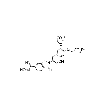 CCOC(=O)COc1ccc(CC(=NO)N2Cc3cc(C(=N)NO)ccc3C2=O)cc1OCC(=O)OCC